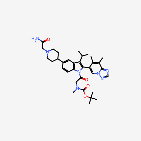 Cc1c(-c2c(C(C)C)c3cc(C4CCN(CC(N)=O)CC4)ccc3n2C(=O)CN(C)C(=O)OC(C)(C)C)cn2ncnc2c1C